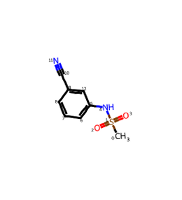 CS(=O)(=O)Nc1cccc(C#N)c1